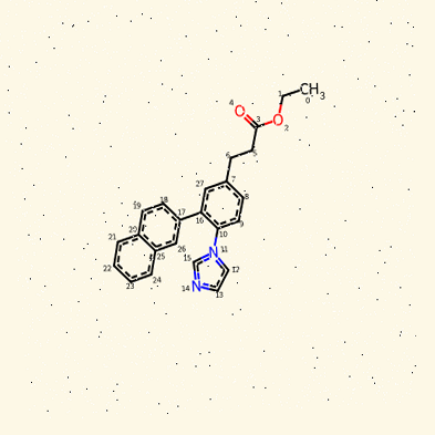 CCOC(=O)CCc1ccc(-n2ccnc2)c(-c2ccc3ccccc3c2)c1